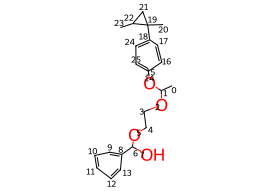 CC(OCCOC(O)c1ccccc1)Oc1ccc(C2(C)CC2C)cc1